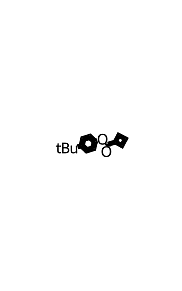 CC(C)(C)c1ccc(OC(=O)C2CCC2)cc1